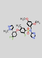 COc1ccc(CN(c2ccncn2)S(=O)(=O)c2cc(C)c(O[C@H]3CCC(F)(F)C[C@@H]3c3ccnn3C)cc2F)c(OC)c1